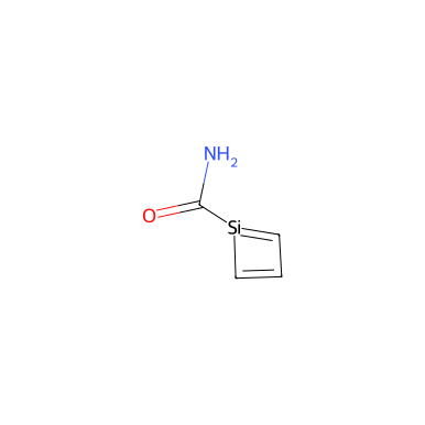 NC(=O)[Si]1=CC=C1